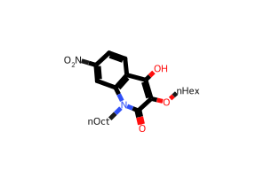 CCCCCCCCn1c(=O)c(OCCCCCC)c(O)c2ccc([N+](=O)[O-])cc21